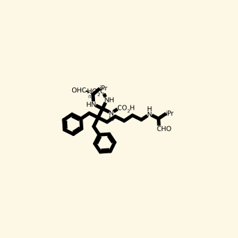 CC(C)C(C=O)NCCCCCC(Cc1ccccc1)(Cc1ccccc1)C(NC(=O)O)(NC(=O)O)N[C@H](C=O)C(C)C